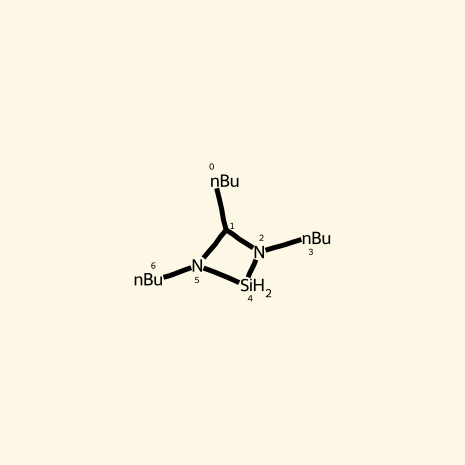 CCCCC1N(CCCC)[SiH2]N1CCCC